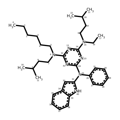 CCCCCCN(CCC(C)C)c1nc(N(CC)CCC(C)C)nc(N(c2ccccc2)c2cc3ccccc3[nH]2)n1